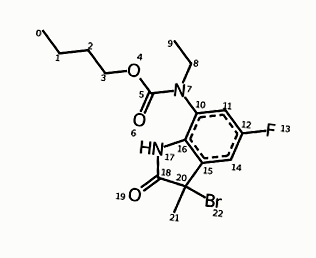 CCCCOC(=O)N(CC)c1cc(F)cc2c1NC(=O)C2(C)Br